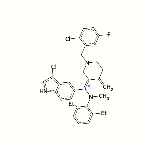 C=C1CCN(Cc2cc(F)ccc2Cl)C/C1=C(\c1ccc2[nH]cc(Cl)c2c1)N(C)c1c(CC)cccc1CC